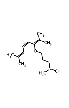 CC(C)=C/C=C\C(OCCCN(C)C)=C(C)C